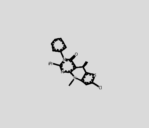 C=C1c2sc(Cl)cc2N(C)c2nc(C(C)C)n(-c3ccccc3)c(=O)c21